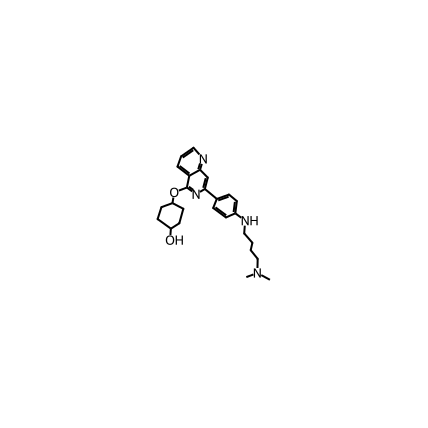 CN(C)CCCCNc1ccc(-c2cc3ncccc3c(OC3CCC(O)CC3)n2)cc1